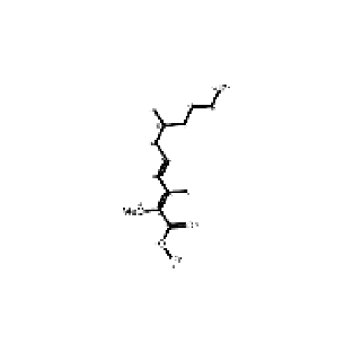 COC(C(=O)OC(C)C)=C(C)C=CCC(C)CCCC(C)C